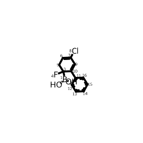 OB(O)C1(F)CC=C(Cl)C=C1c1ccccc1